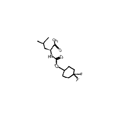 CC(C)C[C@H](NC(=O)OC1CCC(F)(F)CC1)C(=O)O